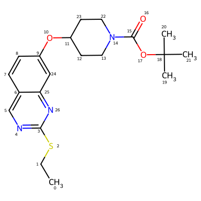 CCSc1ncc2ccc(OC3CCN(C(=O)OC(C)(C)C)CC3)cc2n1